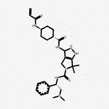 C=CC(=O)N[C@H]1CC[C@H](C(=O)NC2NNC3=C2CN(C(=O)N[C@H](CN(C)C)c2ccccc2)C3(C)C)CC1